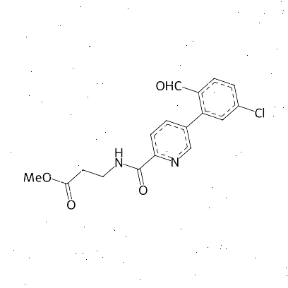 COC(=O)CCNC(=O)c1ccc(-c2cc(Cl)ccc2C=O)cn1